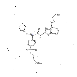 CNCCOc1ccnc2sc(NC(=O)/C(=N/O[C@@H]3CCOC3)c3ccc(S(=O)(=O)CCCOC)cc3)nc12